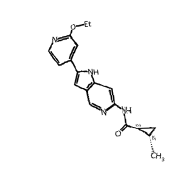 CCOc1cc(-c2cc3cnc(NC(=O)[C@H]4C[C@@H]4C)cc3[nH]2)ccn1